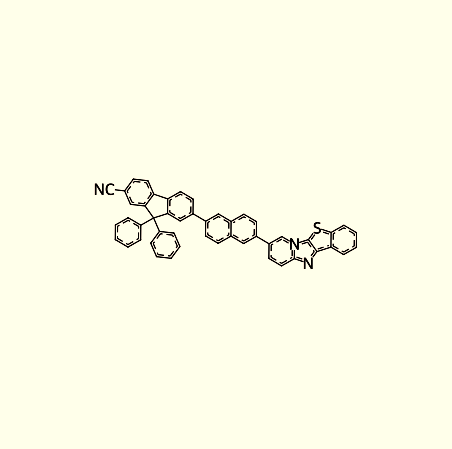 N#Cc1ccc2c(c1)C(c1ccccc1)(c1ccccc1)c1cc(-c3ccc4cc(-c5ccc6nc7c8ccccc8sc7n6c5)ccc4c3)ccc1-2